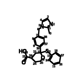 Cc1nccn1Cc1ccc(C2(Sc3ccccc3)CC(C(=O)O)CCO2)cc1